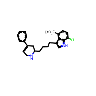 CCOC(=O)c1ccc(Cl)c2[nH]cc(CCCCC3CC(c4ccccc4)=CCN3)c12